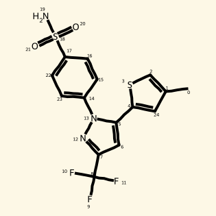 Cc1csc(-c2cc(C(F)(F)F)nn2-c2ccc(S(N)(=O)=O)cc2)c1